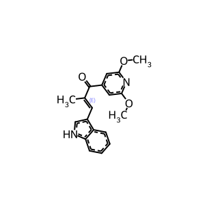 COc1cc(C(=O)/C(C)=C/c2c[nH]c3ccccc23)cc(OC)n1